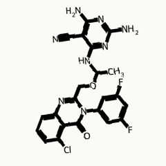 CC(Nc1nc(N)nc(N)c1C#N)OCc1nc2cccc(Cl)c2c(=O)n1-c1cc(F)cc(F)c1